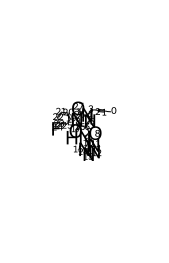 CC#CCn1nc(C(=O)Nc2nnnn2C)c(=O)n(-c2cccc(F)c2)c1=O